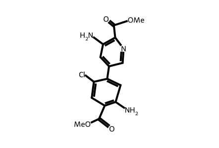 COC(=O)c1cc(Cl)c(-c2cnc(C(=O)OC)c(N)c2)cc1N